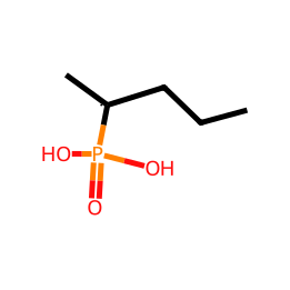 CCC[C](C)P(=O)(O)O